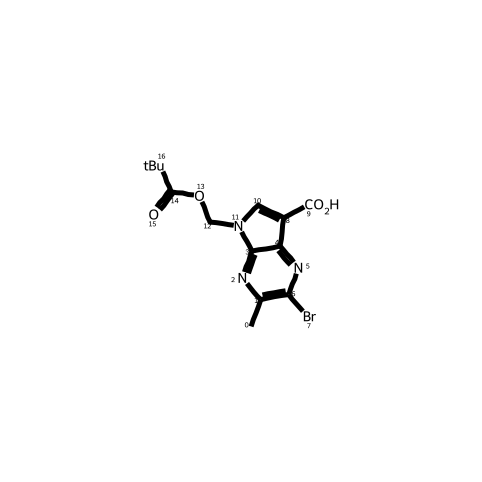 Cc1nc2c(nc1Br)c(C(=O)O)cn2COC(=O)C(C)(C)C